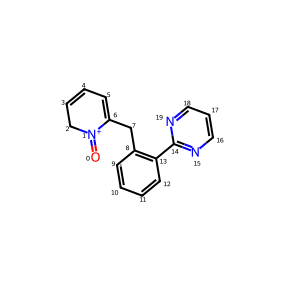 O=[N+]1CC=CC=C1Cc1[c]cccc1-c1ncccn1